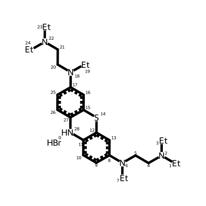 Br.CCN(CC)CCN(CC)c1ccc2c(c1)Sc1cc(N(CC)CCN(CC)CC)ccc1N2